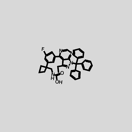 CCc1nn(C(c2ccccc2)(c2ccccc2)c2ccccc2)c2ncnc(-c3cc(F)cc(C4(CNC(=O)O)CCC4)c3)c12